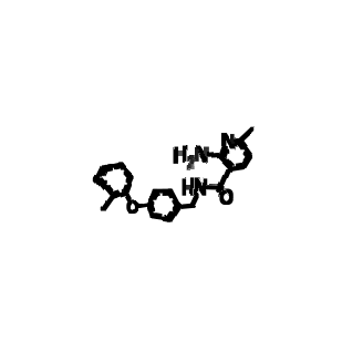 Cc1ccc(C(=O)NCc2ccc(Oc3ccccc3C)cc2)c(N)n1